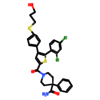 NC(=O)C1(c2ccccc2)CCN(C(=O)c2cc(-c3ccc(SCCCO)cc3)c(-c3ccc(Cl)cc3Cl)s2)CC1